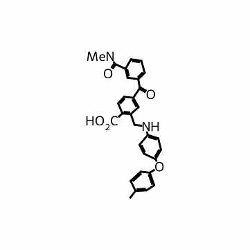 CNC(=O)c1cccc(C(=O)c2ccc(C(=O)O)c(CNc3ccc(Oc4ccc(C)cc4)cc3)c2)c1